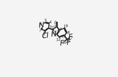 C=C1C(c2ccncc2Cl)=Nc2cc(C(F)(F)F)ccc21